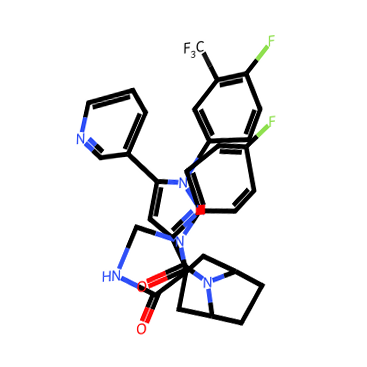 O=C(c1cc(-c2cccnc2)n(-c2ccc(F)c(C(F)(F)F)c2)n1)N1C2CCC1CC1(C2)C(=O)NCN1c1ccc(F)cc1